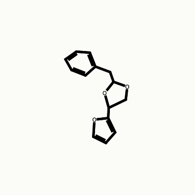 c1ccc(CC2OCC(c3ccco3)O2)cc1